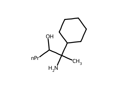 CCCC(O)C(C)(N)C1CCCCC1